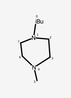 [CH2]C(CC)N1CCN(C)CC1